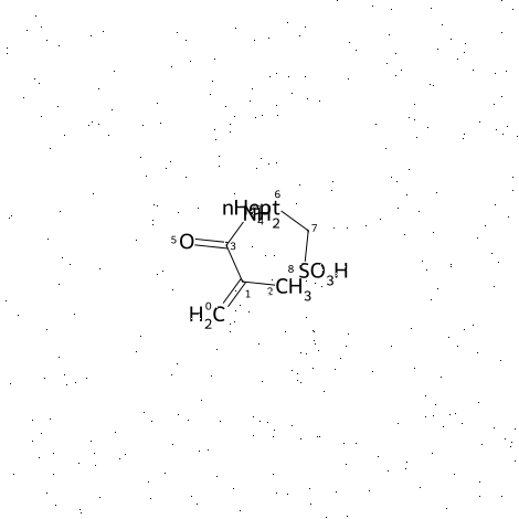 C=C(C)C(N)=O.CCCCCCCCS(=O)(=O)O